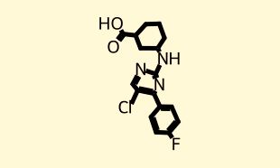 O=C(O)C1CCCC(Nc2ncc(Cl)c(-c3ccc(F)cc3)n2)C1